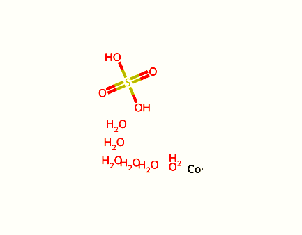 O.O.O.O.O.O.O=S(=O)(O)O.[Co]